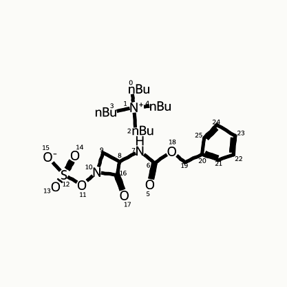 CCCC[N+](CCCC)(CCCC)CCCC.O=C(NC1CN(OS(=O)(=O)[O-])C1=O)OCc1ccccc1